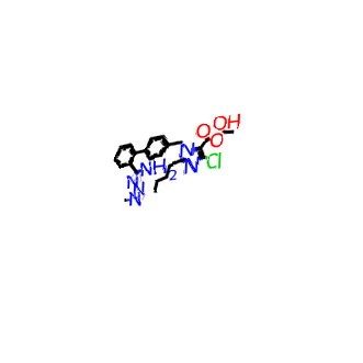 CCCCc1nc(Cl)c(C(=O)OC(C)O)n1Cc1ccc(-c2ccccc2/C(N)=N/N=N\C)cc1